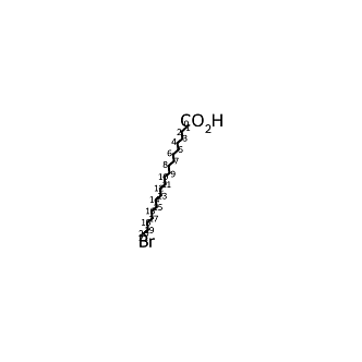 O=C(O)CCCCCCCCCCCCCCCCCCCCBr